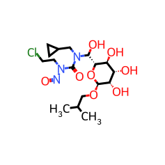 CC(C)CO[C@H]1O[C@H](C(O)N(CC2CC2)C(=O)N(CCCl)N=O)[C@@H](O)[C@H](O)[C@@H]1O